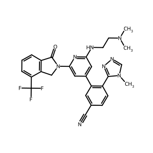 CN(C)CCNc1cc(-c2cc(C#N)ccc2-c2nncn2C)cc(N2Cc3c(cccc3C(F)(F)F)C2=O)n1